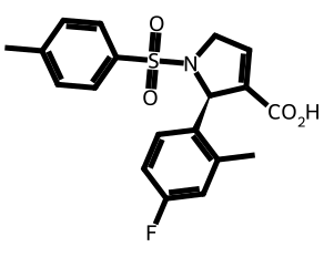 Cc1ccc(S(=O)(=O)N2CC=C(C(=O)O)[C@H]2c2ccc(F)cc2C)cc1